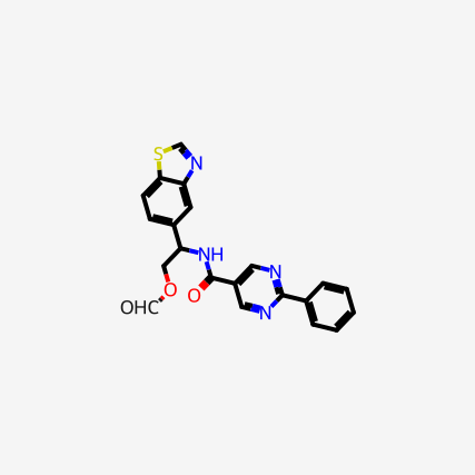 O=COCC(NC(=O)c1cnc(-c2ccccc2)nc1)c1ccc2scnc2c1